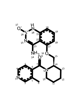 Cc1cnccc1C(=O)N1CCCC[C@@H]1COc1cccc2c1C(N)=N[S+]([O-])N2